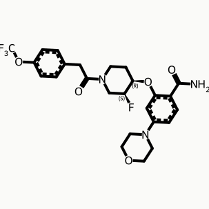 NC(=O)c1ccc(N2CCOCC2)cc1O[C@@H]1CCN(C(=O)Cc2ccc(OC(F)(F)F)cc2)C[C@@H]1F